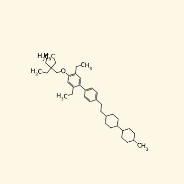 CCc1cc(-c2ccc(CCC3CCC(C4CCC(C)CC4)CC3)cc2)c(CC)cc1OCC(CC)(CC)CC